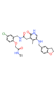 CCNC(=O)COc1ccc(Cl)cc1CNC(=O)Cc1c(C)c(NCc2ccc3c(c2)CCO3)c[nH]c1=O